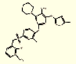 COc1c(Nc2cc(C)[nH]n2)nc(Sc2ccc(S(=O)(=O)Cc3cccc([N+](=O)[O-])c3F)cc2F)nc1N1CCCCC1